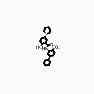 O=C(Nc1cc(-c2ccccc2)ccc1C(=O)O)c1cc(N2C=C=CC=C2)ccc1O